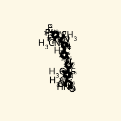 Cc1nc(N[C@H](C)c2cccc(C(F)F)c2F)c2cc(-c3cccc(CN4CCC(c5c(C)cc([C@@]6(C)CCC(=O)NC6=O)cc5F)CC4)c3)ncc2n1